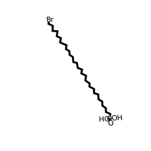 O=P(O)(O)CCCCCCCCCCCCCCCCCCCCCCCCCCCCCCBr